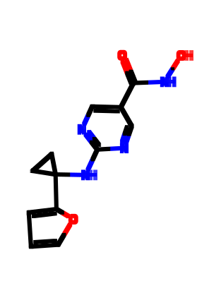 O=C(NO)c1cnc(NC2(c3ccco3)CC2)nc1